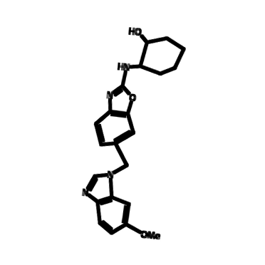 COc1ccc2ncn(Cc3ccc4nc(NC5CCCCC5O)oc4c3)c2c1